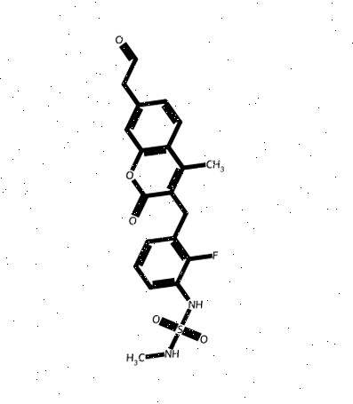 CNS(=O)(=O)Nc1cccc(Cc2c(C)c3ccc(CC=O)cc3oc2=O)c1F